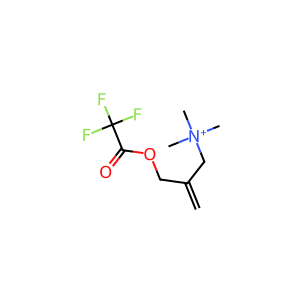 C=C(COC(=O)C(F)(F)F)C[N+](C)(C)C